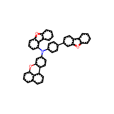 c1cc2c3c(cccc3c1)-c1ccc(N(c3ccc(-c4ccc5c(c4)oc4ccccc45)cc3)c3cccc4oc5ccccc5c34)cc1O2